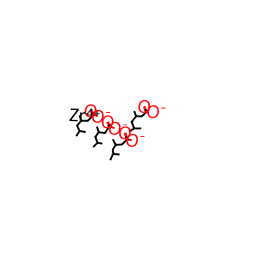 CC(C)CC(C)CC(=O)[O-].CC(C)CC(C)CC(=O)[O-].CC(C)CC(C)CC(=O)[O-].CC(C)CC(C)CC(=O)[O-].[Zr+4]